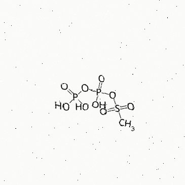 CS(=O)(=O)OP(=O)(O)OP(=O)(O)O